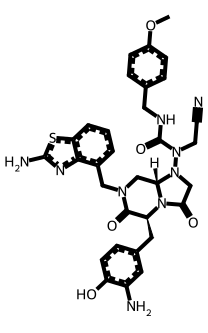 COc1ccc(CNC(=O)N(CC#N)N2CC(=O)N3[C@@H](Cc4ccc(O)c(N)c4)C(=O)N(Cc4cccc5sc(N)nc45)C[C@@H]32)cc1